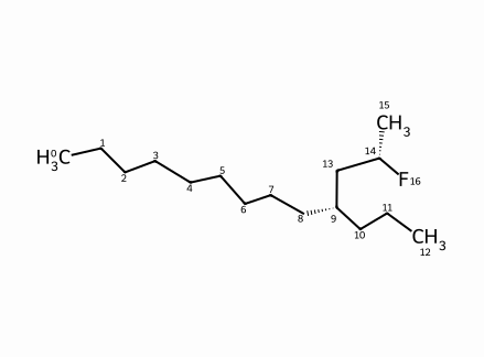 CCCCCCCCC[C@@H](CCC)C[C@H](C)F